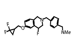 CNCc1ccc(CN2Cc3ccc(OCC4CC4(F)F)cc3C(F)C2)cc1